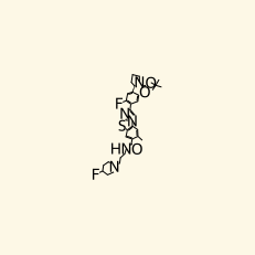 Cc1cc2c(cc1C(=O)NCCCN1CCC(F)CC1)sc1nc(-c3ccc([C@H]4CCCN4C(=O)OC(C)(C)C)cc3F)cn12